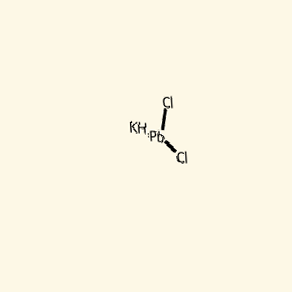 [Cl][Pb][Cl].[KH]